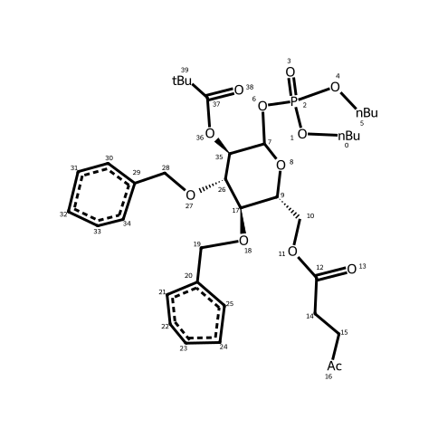 CCCCOP(=O)(OCCCC)OC1O[C@H](COC(=O)CCC(C)=O)[C@@H](OCc2ccccc2)[C@H](OCc2ccccc2)[C@H]1OC(=O)C(C)(C)C